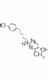 Cc1nc(NCCCCCc2ccc(Cl)cc2)ncc1O